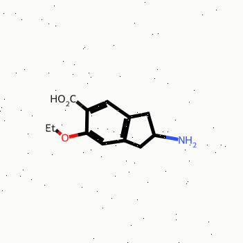 CCOc1cc2c(cc1C(=O)O)CC(N)C2